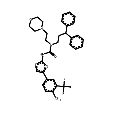 Cc1ccc(-c2csc(NC(=O)N(CCC(c3ccccc3)c3ccccc3)CCN3CCOCC3)n2)cc1C(F)(F)F